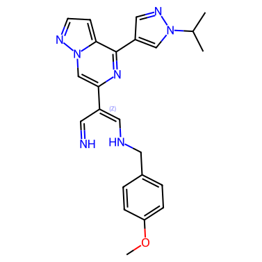 COc1ccc(CN/C=C(\C=N)c2cn3nccc3c(-c3cnn(C(C)C)c3)n2)cc1